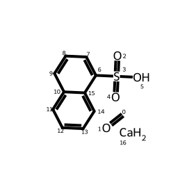 C=O.O=S(=O)(O)c1cccc2ccccc12.[CaH2]